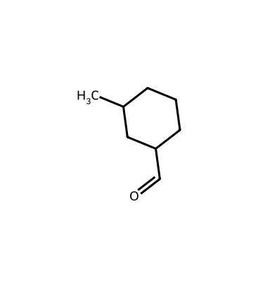 CC1CCCC(C=O)C1